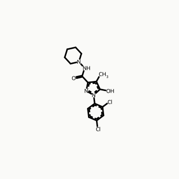 Cc1c(C(=O)NN2CCCCC2)nn(-c2ccc(Cl)cc2Cl)c1O